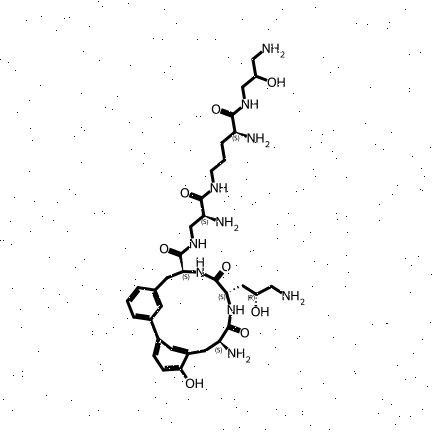 NCC(O)CNC(=O)[C@@H](N)CCCNC(=O)[C@@H](N)CNC(=O)[C@@H]1Cc2cccc(c2)-c2ccc(O)c(c2)C[C@H](N)C(=O)N[C@@H](C[C@@H](O)CN)C(=O)N1